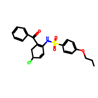 CCCOc1ccc(S(=O)(=O)NC2=C(C(=O)c3ccccc3)CC(Cl)C=C2)cc1